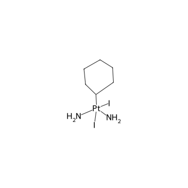 [NH2][Pt]([NH2])([I])([I])[CH]1CCCCC1